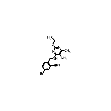 CCOc1nc(C)c(N)c(NCc2ccc(Br)cc2C#N)n1